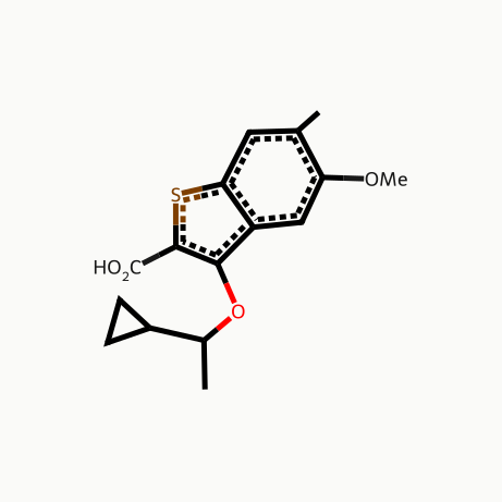 COc1cc2c(OC(C)C3CC3)c(C(=O)O)sc2cc1C